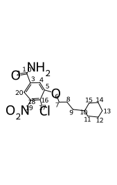 NC(=O)c1cc(OCCCC2CCCCC2)c(Cl)c([N+](=O)[O-])c1